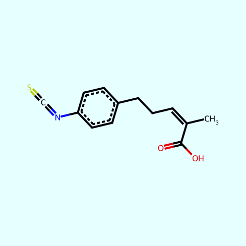 CC(=CCCc1ccc(N=C=S)cc1)C(=O)O